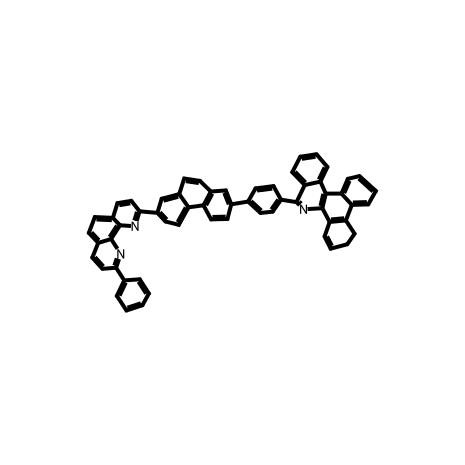 C1=Cc2c(c3ccccc3c3c2nc(-c2ccc(-c4ccc5c(ccc6cc(-c7ccc8ccc9ccc(-c%10ccccc%10)nc9c8n7)ccc65)c4)cc2)c2ccccc23)CC1